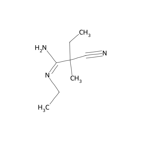 CC/N=C(/N)C(C)(C#N)CC